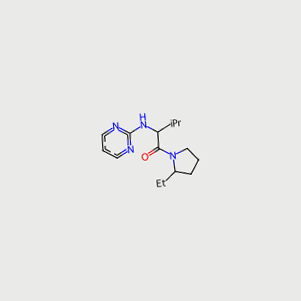 CCC1CCCN1C(=O)C(Nc1ncccn1)C(C)C